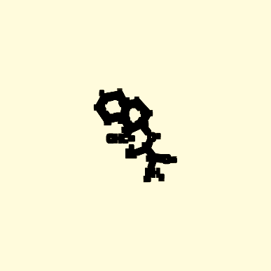 CCC(Oc1ccc2ccccc2c1C=O)C(N)=O